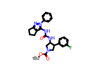 CC(C)(C)OC(=O)N1CC(NC(=O)Nc2c3c(nn2-c2ccccc2)CCC3)C(c2cccc(F)c2)C1